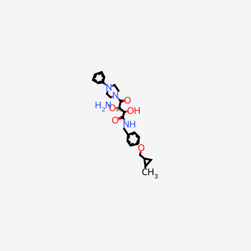 CC1CC1COc1ccc(CNC(=O)C(O)[C@@H](ON)C(=O)N2CCN(c3ccccc3)CC2)cc1